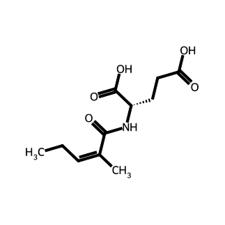 CCC=C(C)C(=O)N[C@@H](CCC(=O)O)C(=O)O